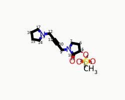 CS(=O)(=O)O[C@H]1CCN(CC#CCN2CCCC2)C1=O